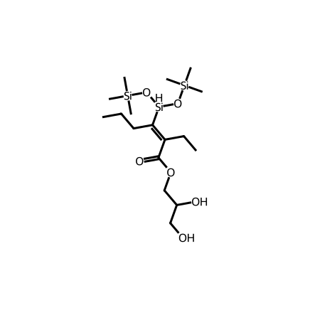 CCCC(=C(CC)C(=O)OCC(O)CO)[SiH](O[Si](C)(C)C)O[Si](C)(C)C